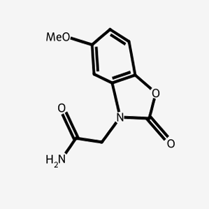 COc1ccc2oc(=O)n(CC(N)=O)c2c1